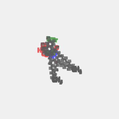 CCCCCCCCCCC(CCCCCCCC)CNC(=O)C1=c2cc(Br)c(Br)cc2=C(C(=O)O)C(Br)(C(=O)O)C1(Br)C(=O)NCC(CCCCCCCC)CCCCCCCCCC